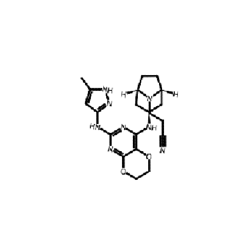 Cc1cc(Nc2nc(N[C@@H]3C[C@H]4CC[C@@H](C3)N4CCC#N)c3c(n2)OCCO3)n[nH]1